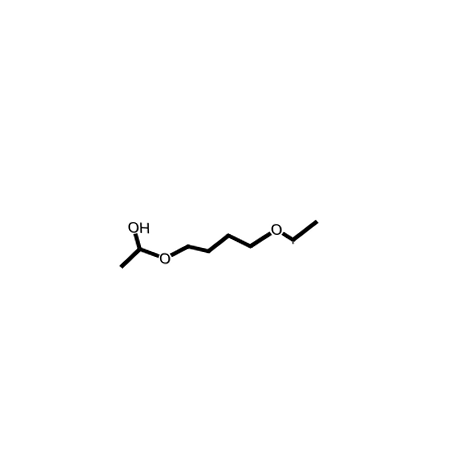 C[CH]OCCCCOC(C)O